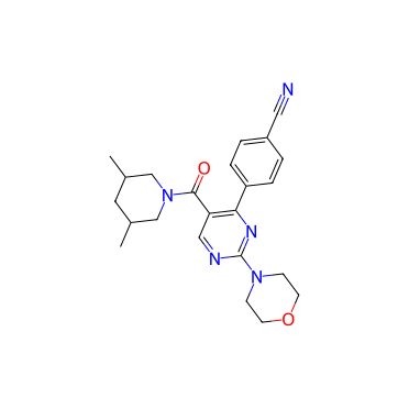 CC1CC(C)CN(C(=O)c2cnc(N3CCOCC3)nc2-c2ccc(C#N)cc2)C1